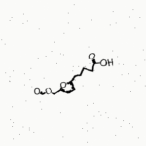 O=COCc1ccc(CCCCC(=O)O)o1